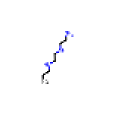 NCCNCCNCCN=O